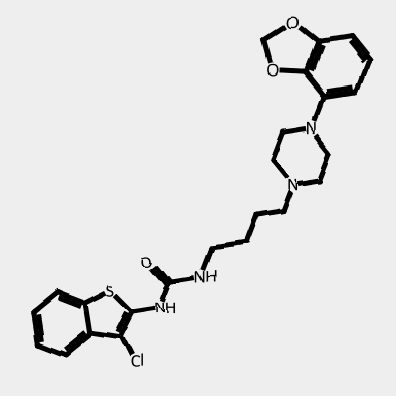 O=C(NCCCCN1CCN(c2cccc3c2OCO3)CC1)Nc1sc2ccccc2c1Cl